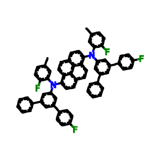 Cc1ccc(F)c(N(c2cc(-c3ccccc3)cc(-c3ccc(F)cc3)c2)c2ccc3ccc4c(N(c5cc(-c6ccccc6)cc(-c6ccc(F)cc6)c5)c5cc(C)ccc5F)ccc5ccc2c3c54)c1